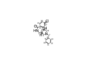 O=C1NC[C@@H]2CN(Cc3ccccc3)C[C@H]2c2cc(Cl)ccc21